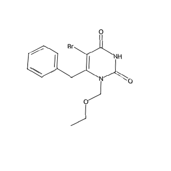 CCOCn1c(Cc2ccccc2)c(Br)c(=O)[nH]c1=O